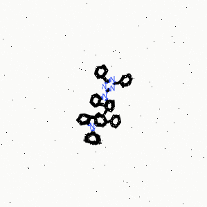 c1ccc(-c2nc(-c3ccccc3)nc(-n3c4ccccc4c4c(-c5cc6c7ccccc7n(-c7ccccc7)c6cc5-c5ccccc5)cccc43)n2)cc1